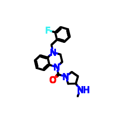 CNC1CCN(C(=O)N2CCN(Cc3ccccc3F)c3ccccc32)C1